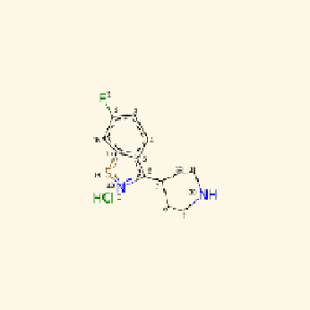 Cl.Fc1ccc2c(C3CCNCC3)nsc2c1